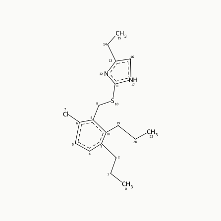 CCCc1ccc(Cl)c(CSc2nc(CC)c[nH]2)c1CCC